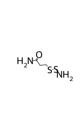 NSSCCC(N)=O